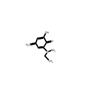 C=C1C=C(O)C(=O)C(N(N)CC)=C1